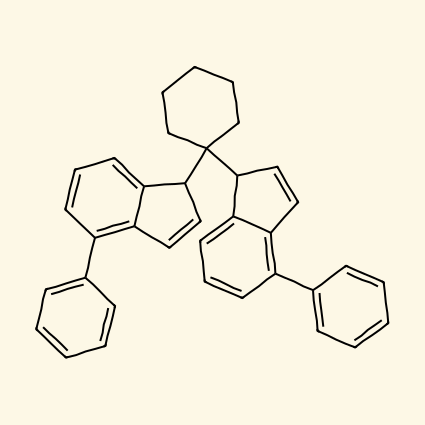 C1=CC(C2(C3C=Cc4c(-c5ccccc5)cccc43)CCCCC2)c2cccc(-c3ccccc3)c21